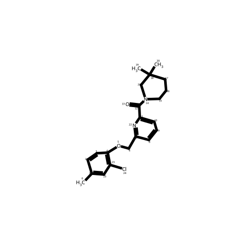 Cc1ccc(OCc2cccc(C(=O)N3CCCC(C)(C)C3)n2)c(Cl)c1